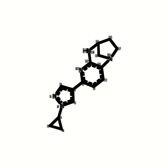 c1nn(C2CC2)cc1-c1ccc2c(n1)NC1CCN2C1